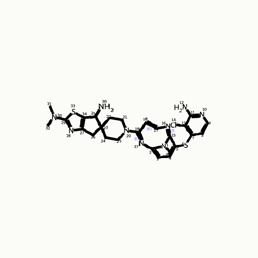 CN1C2=CC=C(Sc3ccnc(N)c3Cl)/C1=N/C=C/C(N1CCC3(CC1)Cc1nc(N(C)C)sc1C3N)=N\2